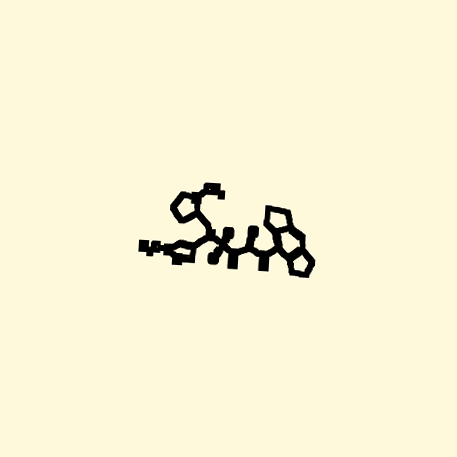 CN1CCCC1CN(c1cnn(C)c1)S(=O)(=O)NC(=O)Nc1c2c(cc3c1CCC3)CCC2